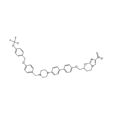 O=[N+]([O-])c1cn2c(n1)OC(COc1ccc(-c3ccc(N4CCN(Cc5ccc(OCc6ccc(OC(F)(F)F)cc6)cc5)CC4)cc3)cc1)CC2